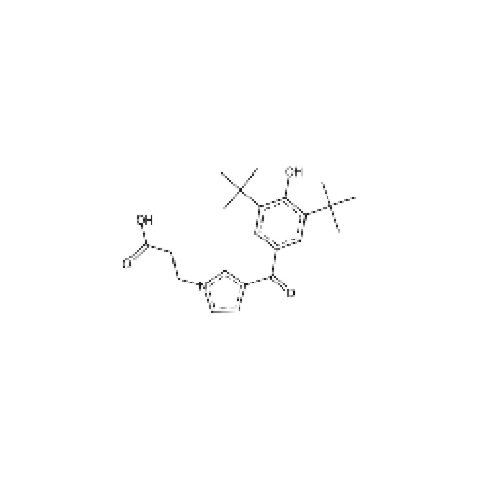 CC(C)(C)c1cc(C(=O)c2ccn(CCC(=O)O)c2)cc(C(C)(C)C)c1O